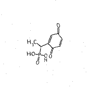 CC(C1=CC(=O)C=CC1=O)P(=O)(O)O